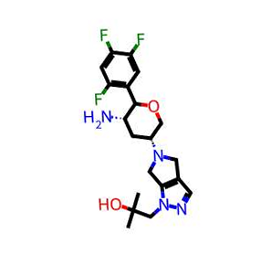 CC(C)(O)Cn1ncc2c1CN([C@H]1COC(c3cc(F)c(F)cc3F)[C@@H](N)C1)C2